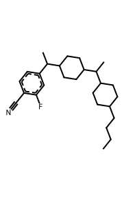 CCCCC1CCC(C(C)C2CCC(C(C)c3ccc(C#N)c(F)c3)CC2)CC1